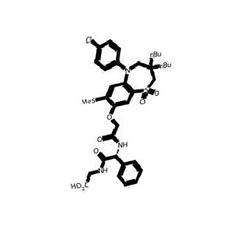 CCCCC1(CCCC)CN(c2ccc(Cl)cc2)c2cc(SC)c(OCC(=O)N[C@@H](C(=O)NCC(=O)O)c3ccccc3)cc2S(=O)(=O)C1